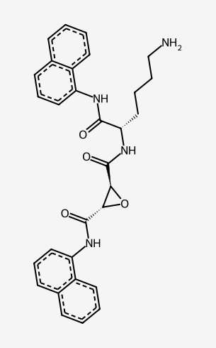 NCCCC[C@H](NC(=O)[C@H]1O[C@@H]1C(=O)Nc1cccc2ccccc12)C(=O)Nc1cccc2ccccc12